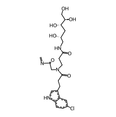 C=NC(=O)CN(CCC(=O)NC[C@H](O)C[C@H](O)[C@H](O)CO)C(=O)CCc1c[nH]c2ccc(Cl)cc12